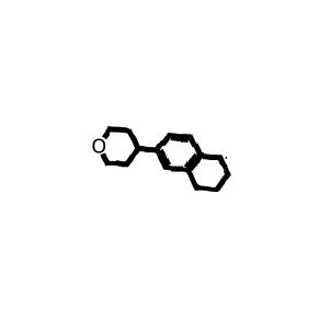 [CH]1CCCc2cc(C3CCOCC3)ccc21